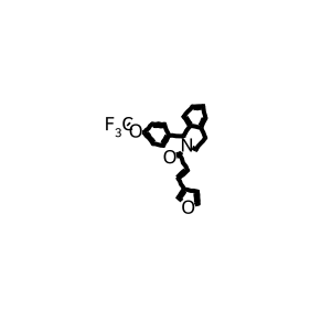 O=C(C=Cc1ccoc1)N1CCc2ccccc2C1c1ccc(OC(F)(F)F)cc1